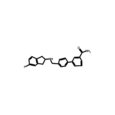 NC(=O)c1cccc(-c2ccc(CNC3Cc4ccc(F)cc4C3)cc2)c1